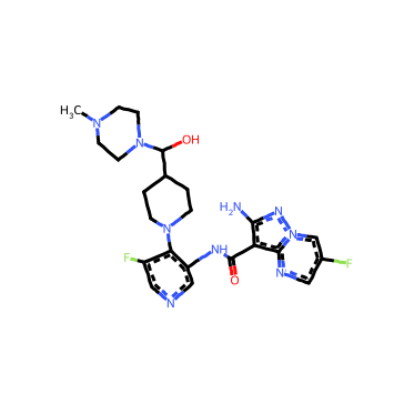 CN1CCN(C(O)C2CCN(c3c(F)cncc3NC(=O)c3c(N)nn4cc(F)cnc34)CC2)CC1